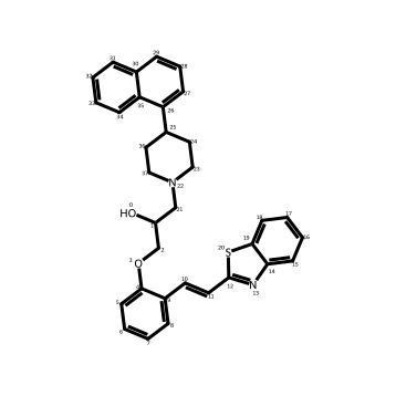 OC(COc1ccccc1C=Cc1nc2ccccc2s1)CN1CCC(c2cccc3ccccc23)CC1